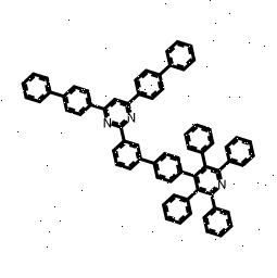 c1ccc(-c2ccc(-c3cc(-c4ccc(-c5ccccc5)cc4)nc(-c4cccc(-c5ccc(-c6c(-c7ccccc7)c(-c7ccccc7)nc(-c7ccccc7)c6-c6ccccc6)cc5)c4)n3)cc2)cc1